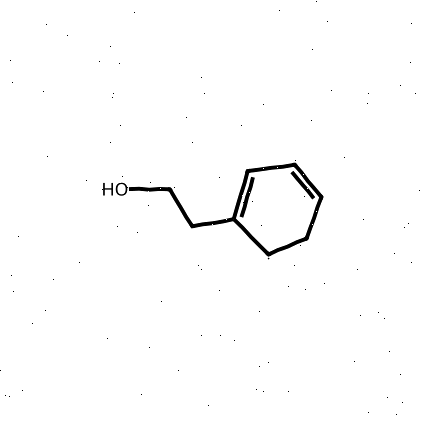 OCCC1=CC=CC[CH]1